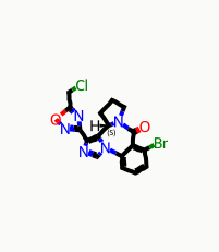 O=C1c2c(Br)cccc2-n2cnc(-c3noc(CCl)n3)c2[C@@H]2CCCN12